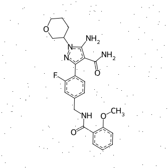 COc1ccccc1C(=O)NCc1ccc(-c2nn(C3CCCOC3)c(N)c2C(N)=O)c(F)c1